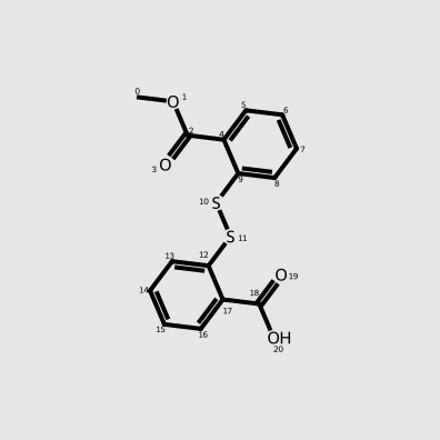 COC(=O)c1ccccc1SSc1ccccc1C(=O)O